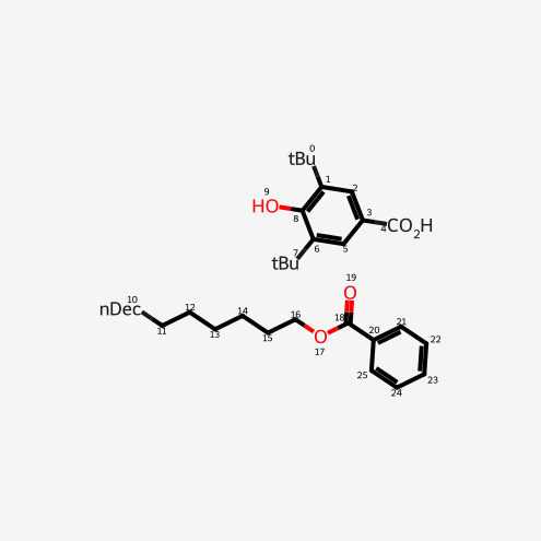 CC(C)(C)c1cc(C(=O)O)cc(C(C)(C)C)c1O.CCCCCCCCCCCCCCCCOC(=O)c1ccccc1